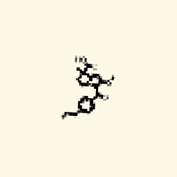 CCCc1ccc(C(=O)c2c(SC)cc3n2CCC3(C)C(=O)O)cc1